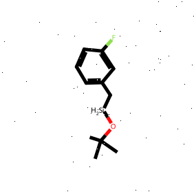 CC(C)(C)O[SiH2]Cc1cccc(F)c1